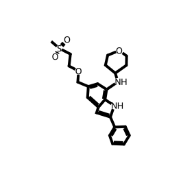 CS(=O)(=O)CCOCc1cc(NC2CCOCC2)c2[nH]c(-c3ccccc3)cc2c1